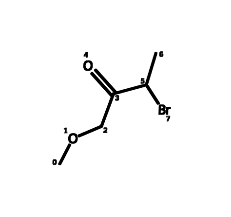 COCC(=O)C(C)Br